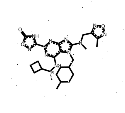 Cc1nonc1CN(C)c1nc2nc(-c3noc(=O)[nH]3)nc(N[C@H](C)C3CCC3)c2n1CC1CCC(C)CC1